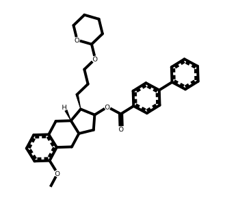 COc1cccc2c1CC1CC(OC(=O)c3ccc(-c4ccccc4)cc3)[C@H](CCCOC3CCCCO3)[C@H]1C2